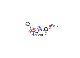 CCCCCOc1ccc(Cn2c(C=C(CCCCC)C(=O)NS(=O)(=O)C=Cc3ccccc3)cnc2C)c(Cl)c1